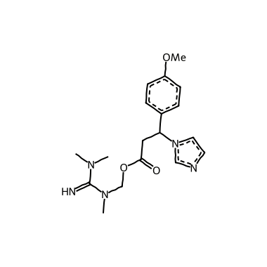 COc1ccc(C(CC(=O)OCN(C)C(=N)N(C)C)n2ccnc2)cc1